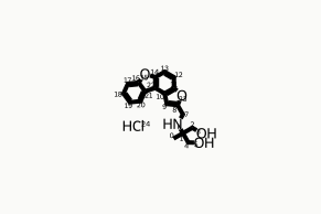 CC(CO)(CO)NCc1cc2c(ccc3oc4ccccc4c32)o1.Cl